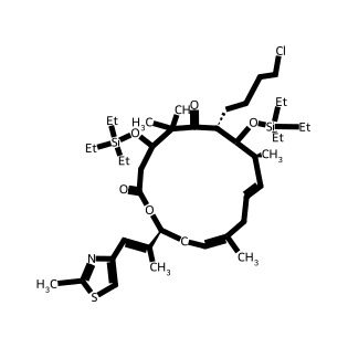 CC[Si](CC)(CC)OC1[C@@H](C)/C=C/C/C(C)=C\C[C@@H](/C(C)=C/c2csc(C)n2)OC(=O)CC(O[Si](CC)(CC)CC)C(C)(C)C(=O)[C@@H]1CCCCCl